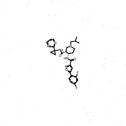 CC(C)CN1CC[C@H](NC(=O)c2cc(-c3ccc(F)cc3F)on2)[C@@H](C(=O)NC2(c3ncccn3)CC2)C1